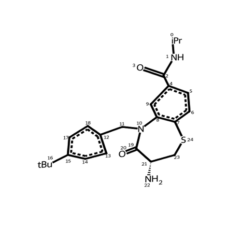 CC(C)NC(=O)c1ccc2c(c1)N(Cc1ccc(C(C)(C)C)cc1)C(=O)[C@@H](N)CS2